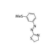 CSc1cccc(N=NC2=NCCS2)c1